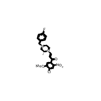 COc1cc(C(=O)/C=C/N2CCN(Cc3ccc(F)cc3)C[C@H]2C)c([N+](=O)[O-])cc1Cl